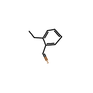 CCc1ccccc1[C]=S